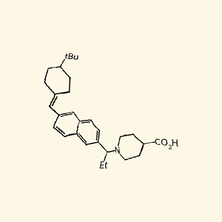 CCC(c1ccc2cc(C=C3CCC(C(C)(C)C)CC3)ccc2c1)N1CCC(C(=O)O)CC1